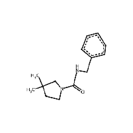 CC1(C)CCN(C(=O)NCc2ccccc2)C1